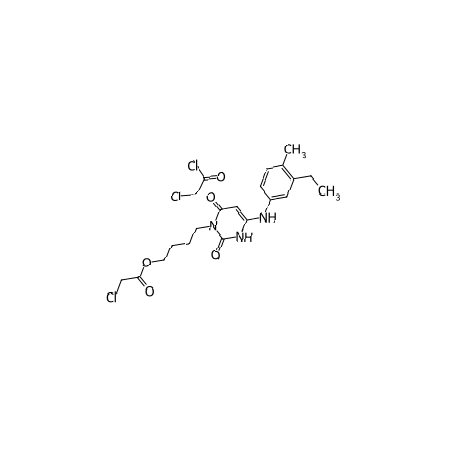 CCc1cc(Nc2cc(=O)n(CCCCOC(=O)CCl)c(=O)[nH]2)ccc1C.O=C(Cl)CCl